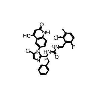 Cc1ccc(F)c(CNC(=O)N[C@@H](Cc2ccccc2)c2ncc(Cl)n2-c2ccc3[nH]c(=O)cc(O)c3c2)c1Cl